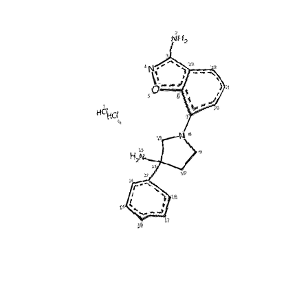 Cl.Cl.Nc1noc2c(N3CCC(N)(c4ccccc4)C3)cccc12